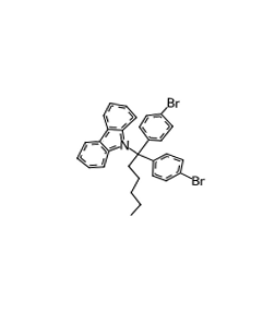 CCCCCC(c1ccc(Br)cc1)(c1ccc(Br)cc1)n1c2ccccc2c2ccccc21